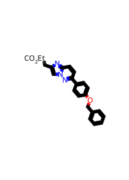 CCOC(=O)Cc1cn2nc(-c3ccc(OCc4ccccc4)cc3)ccc2n1